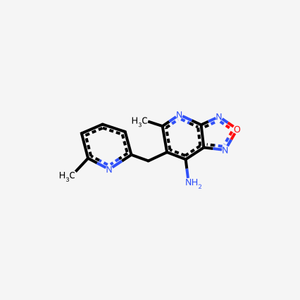 Cc1cccc(Cc2c(C)nc3nonc3c2N)n1